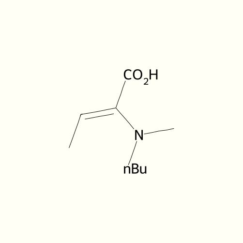 CC=C(C(=O)O)N(C)CCCC